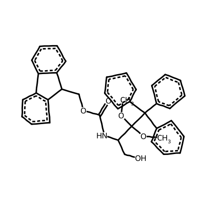 COC(OC)(C(CO)NC(=O)OCC1c2ccccc2-c2ccccc21)C(c1ccccc1)(c1ccccc1)c1ccccc1